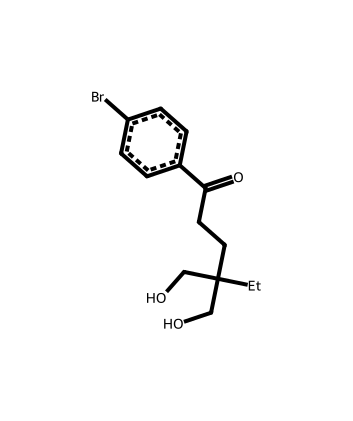 CCC(CO)(CO)CCC(=O)c1ccc(Br)cc1